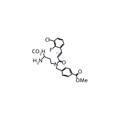 COC(=O)c1ccc(CN(CCC(N)C(=O)O)C(=O)/C=C/c2cccc(Cl)c2F)cc1